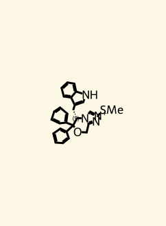 CS[n+]1cn2c(n1)COC(c1ccccc1)(c1ccccc1)[C@@H]2Cc1c[nH]c2ccccc12